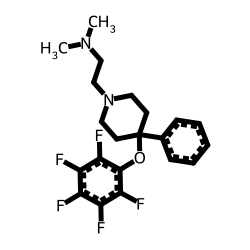 CN(C)CCN1CCC(Oc2c(F)c(F)c(F)c(F)c2F)(c2ccccc2)CC1